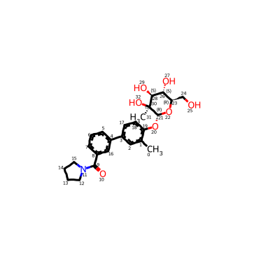 Cc1cc(-c2cccc(C(=O)N3CCCC3)c2)ccc1O[C@H]1O[C@H](CO)[C@@H](O)[C@H](O)[C@]1(C)O